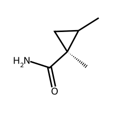 CC1C[C@]1(C)C(N)=O